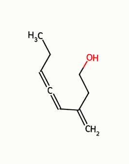 C=C(C=C=CCC)CCO